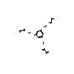 C=C(C)C(=O)OCOc1cc(OCOC(=O)C(=C)C)cc(OCOC(=O)C(=C)C)c1